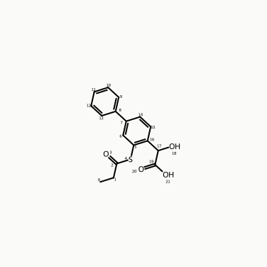 CCC(=O)Sc1cc(-c2ccccc2)ccc1C(O)C(=O)O